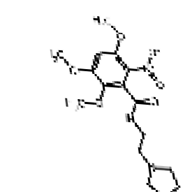 COc1cc(OC)c([N+](=O)[O-])c(C(=O)NCCN2CCCC2)c1OC